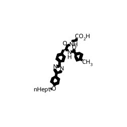 CCCCCCCOc1ccc(-c2cnc(-c3ccc(C[C@H](NC(=O)c4ccc(C)cc4)C(=O)NCCC(=O)O)cc3)nc2)cc1